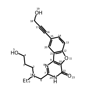 CCN(CCCO)Cc1nc2c(oc3ccc(C#CCO)cc32)c(=O)[nH]1